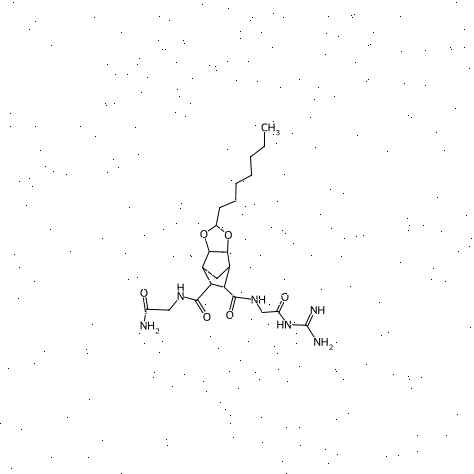 CCCCCCCC1OC2C3CC(C2O1)C(C(=O)NCC(=O)NC(=N)N)C3C(=O)NCC(N)=O